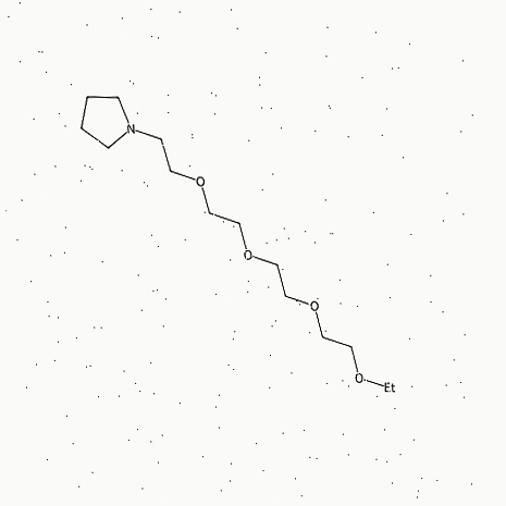 CCOCCOCCOCCOCCN1CCCC1